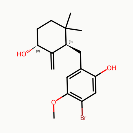 C=C1[C@H](O)CCC(C)(C)[C@H]1Cc1cc(OC)c(Br)cc1O